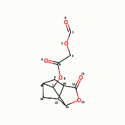 O=COCC(=O)OC1C2CC3C(=O)OC1C3C2